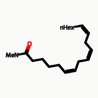 CCCCCC/C=C\C/C=C\C/C=C\CCCCC(=O)NC